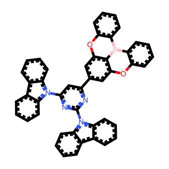 c1ccc2c(c1)Oc1cc(-c3cc(-n4c5ccccc5c5ccccc54)nc(-n4c5ccccc5c5ccccc54)n3)cc3c1B2c1ccccc1O3